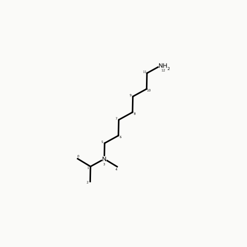 CC(C)N(C)CCCCCCCN